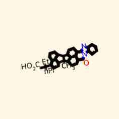 CCCC(CC)(CC(=O)O)c1ccc2c3c(cccc13)C1c3ccc4c5c3c(ccc5c(=O)n3c5ccccc5nc43)C21C